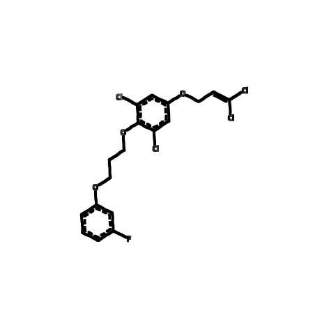 Fc1cccc(OCCCOc2c(Cl)cc(OCC=C(Cl)Cl)cc2Cl)c1